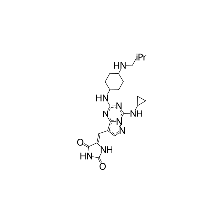 CC(C)CNC1CCC(Nc2nc(NC3CC3)n3ncc(/C=C4\NC(=O)NC4=O)c3n2)CC1